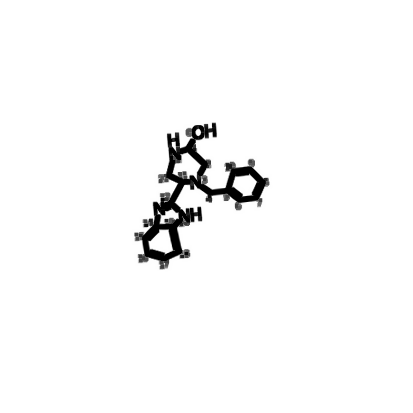 OC1CN(Cc2ccccc2)C(c2nc3ccccc3[nH]2)CN1